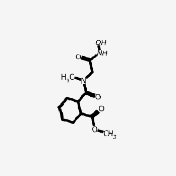 COC(=O)C1CCCCC1C(=O)N(C)CC(=O)NO